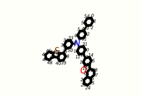 c1ccc(-c2ccc(N(c3ccc(-c4ccc5c(c4)oc4c6ccccc6ccc54)cc3)c3cccc(-c4cccc5c4sc4ccccc45)c3)cc2)cc1